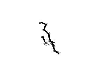 CCCCCCCC.CS(=O)(=O)O